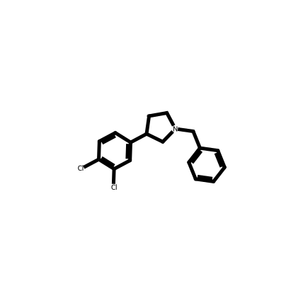 Clc1ccc(C2[CH]CN(Cc3ccccc3)C2)cc1Cl